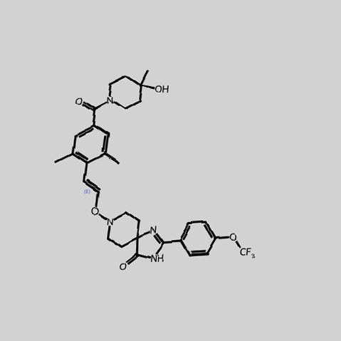 Cc1cc(C(=O)N2CCC(C)(O)CC2)cc(C)c1/C=C/ON1CCC2(CC1)N=C(c1ccc(OC(F)(F)F)cc1)NC2=O